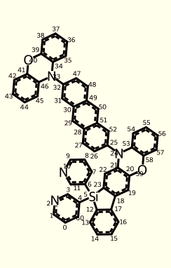 c1cncc([Si]2(c3cccnc3)c3ccccc3-c3cc4c(cc32)N(c2ccc3cc5cc(N6c7ccccc7Oc7ccccc76)ccc5cc3c2)c2ccccc2O4)c1